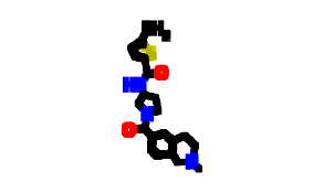 Bc1ccc(C(=O)NC2CCN(C(=O)c3ccc4c(c3)CCN(C)C4)C2)s1